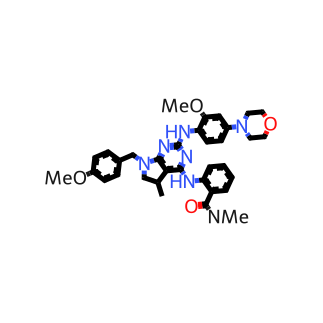 CNC(=O)c1ccccc1Nc1nc(Nc2ccc(N3CCOCC3)cc2OC)nc2c1C(C)CN2Cc1ccc(OC)cc1